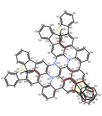 CC1(C)c2ccccc2-c2cc3c(cc21)N(c1c(-c2ccc4sc5ccccc5c4c2)cccc1-c1ccc2sc4ccccc4c2c1)c1cc(C24CC5CC(CC(C5)C2)C4)cc2c1N3c1cc3c(cc1N2c1c(-c2ccc4sc5ccccc5c4c2)cccc1-c1ccc2sc4ccccc4c2c1)C(C)(C)c1ccccc1-3